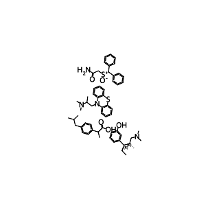 CC(C)Cc1ccc(C(C)C(=O)O)cc1.CC(CN1c2ccccc2Sc2ccccc21)N(C)C.CC[C@@H](c1cccc(O)c1)[C@@H](C)CN(C)C.NC(=O)C[S+]([O-])C(c1ccccc1)c1ccccc1